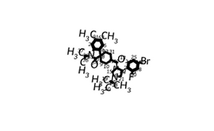 Cc1cc2c(cc1C)C1(CCC(C(=O)[C@@H]3CN(C(C)(C)C)C[C@H]3c3ccc(Br)cc3F)CC1)C(=O)N2C(C)C